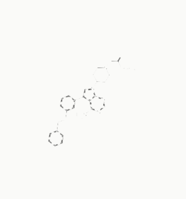 CC(C)(C)OC(=O)ON1CCC(n2cc(-c3cccc(OCc4ccccc4)c3)c3c(N)ncnc32)CC1